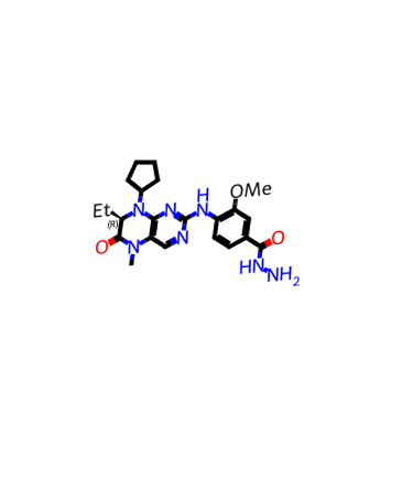 CC[C@@H]1C(=O)N(C)c2cnc(Nc3ccc(C(=O)NN)cc3OC)nc2N1C1CCCC1